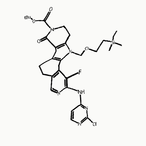 CC(C)(C)OC(=O)N1CCc2c(c3c(n2COCC[Si](C)(C)C)-c2c(cnc(Nc4ccnc(Cl)n4)c2F)CC3)C1=O